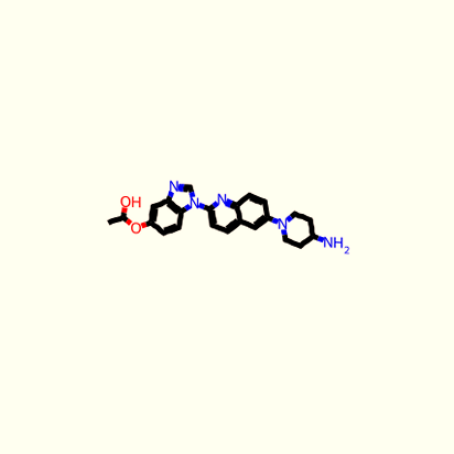 CC(O)Oc1ccc2c(c1)ncn2-c1ccc2cc(N3CCC(N)CC3)ccc2n1